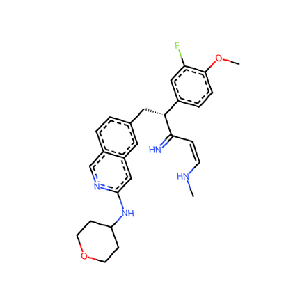 CN/C=C\C(=N)[C@H](Cc1ccc2cnc(NC3CCOCC3)cc2c1)c1ccc(OC)c(F)c1